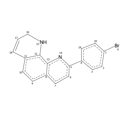 Brc1ccc(-c2ccc3ccc4c(c3n2)NCC=C4)cc1